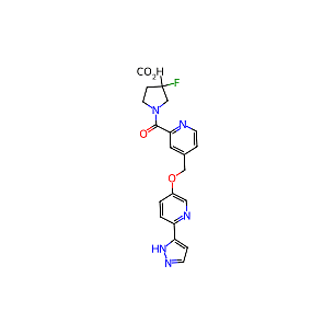 O=C(c1cc(COc2ccc(-c3ccn[nH]3)nc2)ccn1)N1CCC(F)(C(=O)O)C1